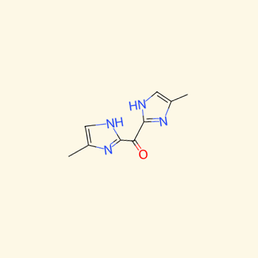 Cc1c[nH]c(C(=O)c2nc(C)c[nH]2)n1